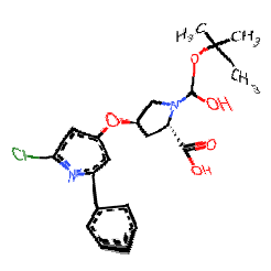 CC(C)(C)OC(O)N1C[C@H](Oc2cc(Cl)nc(-c3ccccc3)c2)C[C@H]1C(=O)O